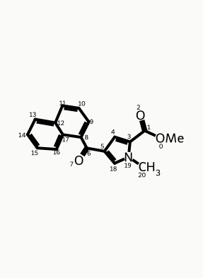 COC(=O)c1cc(C(=O)c2cccc3ccccc23)cn1C